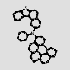 c1ccc(N(c2ccc(-c3cccc4ccc5ccc6ccccc6c5c34)cc2)c2ccc3ccc4sc5ccccc5c4c3c2)cc1